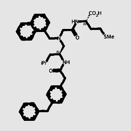 CSCC[C@H](NC(=O)CN(Cc1cccc2ccccc12)C[C@H](CC(C)C)NC(=O)Cc1ccc(Cc2ccccc2)cc1)C(=O)O